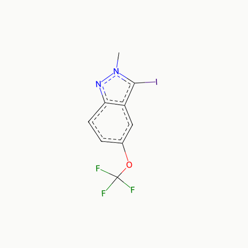 Cn1nc2ccc(OC(F)(F)F)cc2c1I